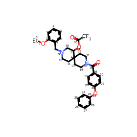 CCOc1ccccc1CN1CCC2(CCN(C(=O)c3ccc(Oc4ccccc4)cc3)CC2)C(OC(=O)C(F)(F)F)C1